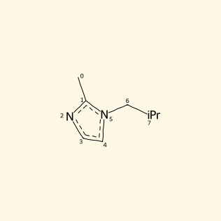 Cc1nccn1CC(C)C